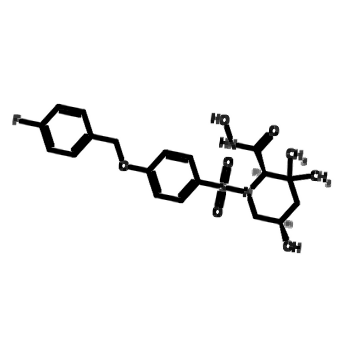 CC1(C)C[C@@H](O)CN(S(=O)(=O)c2ccc(OCc3ccc(F)cc3)cc2)[C@H]1C(=O)NO